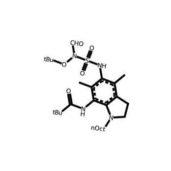 CCCCCCCCN1CCc2c(C)c(NS(=O)(=O)N(C=O)OC(C)(C)C)c(C)c(NC(=O)C(C)(C)C)c21